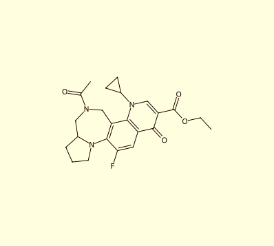 CCOC(=O)c1cn(C2CC2)c2c3c(c(F)cc2c1=O)N1CCCC1CN(C(C)=O)C3